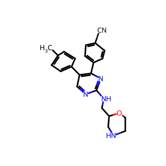 Cc1ccc(-c2cnc(NCC3CNCCO3)nc2-c2ccc(C#N)cc2)cc1